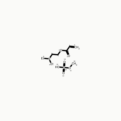 C=CC(=O)OCCN(CC)CC.COS(=O)(=O)O